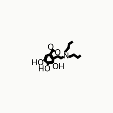 CCCCN(CCCC)CC1OC(=O)c2cc(O)c(O)c(O)c21